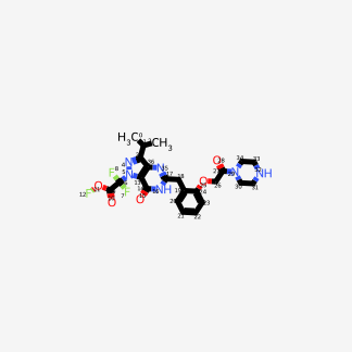 CC(C)c1nn(C(F)(F)C(=O)OF)c2c(=O)[nH]c(Cc3ccccc3OCC(=O)N3CCNCC3)nc12